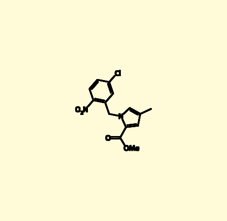 COC(=O)c1cc(C)cn1Cc1cc(Cl)ccc1[N+](=O)[O-]